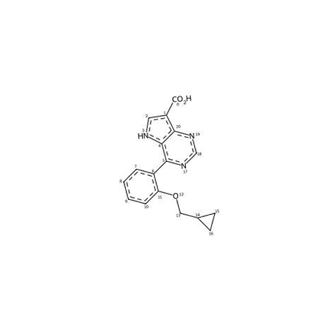 O=C(O)c1c[nH]c2c(-c3ccccc3OCC3CC3)ncnc12